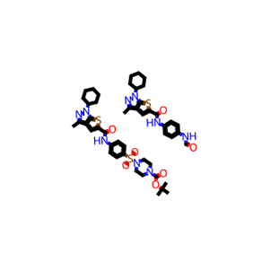 Cc1nn(C2CCCCC2)c2sc(C(=O)Nc3ccc(NC=O)cc3)cc12.Cc1nn(C2CCCCC2)c2sc(C(=O)Nc3ccc(S(=O)(=O)N4CCN(C(=O)OC(C)(C)C)CC4)cc3)cc12